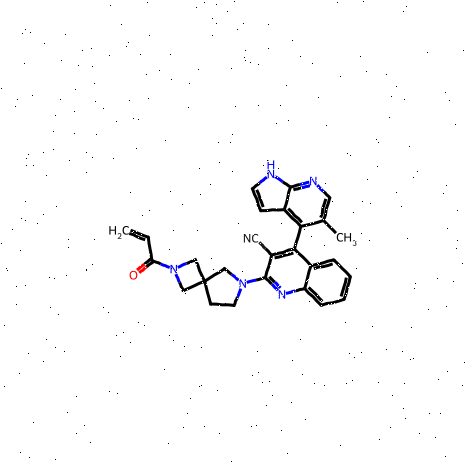 C=CC(=O)N1CC2(CCN(c3nc4ccccc4c(-c4c(C)cnc5[nH]ccc45)c3C#N)C2)C1